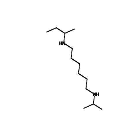 CCC(C)NCCCCCCNC(C)C